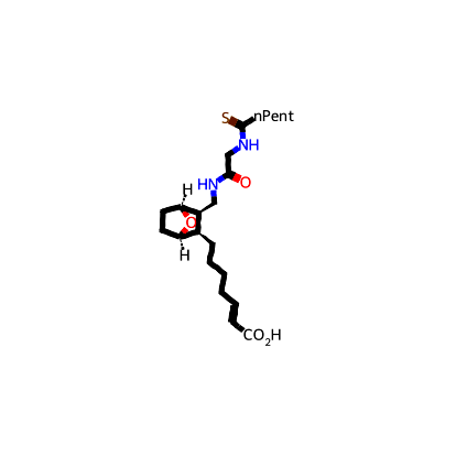 CCCCCC(=S)NCC(=O)NC[C@H]1[C@@H](CCCC/C=C/C(=O)O)[C@H]2CC[C@@H]1O2